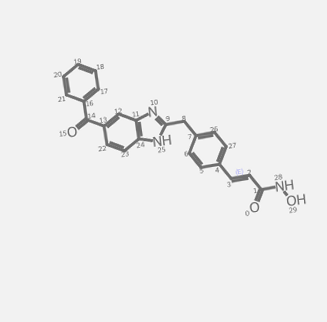 O=C(/C=C/c1ccc(Cc2nc3cc(C(=O)c4ccccc4)ccc3[nH]2)cc1)NO